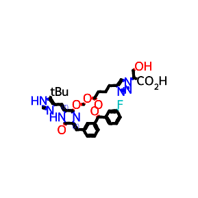 CC(C)(C)c1[nH]cnc1/C=c1\[nH]c(=O)/c(=C/c2cccc(C(=O)c3cccc(F)c3)c2)nc1OCOC(=O)CCCc1cn(C(CO)C(=O)O)nn1